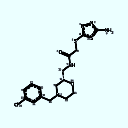 Nc1nnc(SCC(=O)NC[C@H]2CN(Cc3cccc(Cl)c3)CCO2)s1